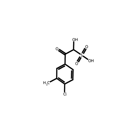 Cc1cc(C(=O)C(O)S(=O)(=O)O)ccc1Cl